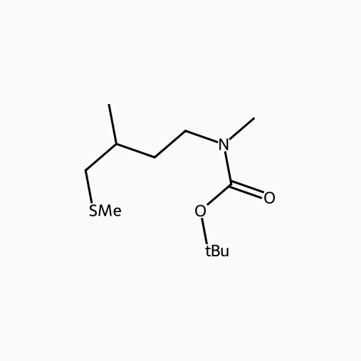 CSCC(C)CCN(C)C(=O)OC(C)(C)C